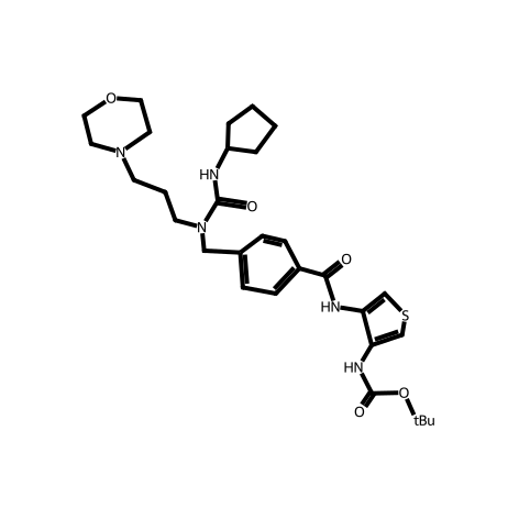 CC(C)(C)OC(=O)Nc1cscc1NC(=O)c1ccc(CN(CCCN2CCOCC2)C(=O)NC2CCCC2)cc1